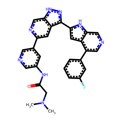 CN(C)CC(=O)Nc1cncc(-c2cc3c(-c4cc5c(-c6cccc(F)c6)cncc5[nH]4)n[nH]c3cn2)c1